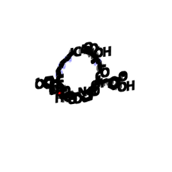 COc1ccc(C2C[C@@H]3CC[C@@H](C)[C@@](O)(O3)C(=O)C(=O)N3CCCC[C@H]3C(=O)O[C@H]([C@H](C)C[C@@H]3CC[C@@H](O)[C@H](OC)C3)CC(=O)[C@H](C)/C=C(\C)[C@@H](O)[C@@H](OC)C(=O)[C@H](C)C[C@H](C)/C=C/C=C/C=C/2C)c(OC)c1